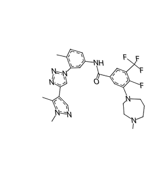 Cc1ccc(NC(=O)c2cc(N3CCCN(C)CC3)c(F)c(C(F)(F)F)c2)cc1-n1cc(-c2cnn(C)c2C)nn1